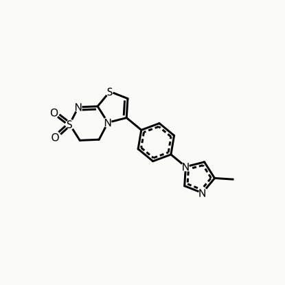 Cc1cn(-c2ccc(C3=CSC4=NS(=O)(=O)CCN34)cc2)cn1